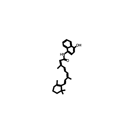 CC(C=CC1=C(C)CCCC1(C)C)=CC=CC(C)=CC(=O)Nc1ccc(O)c2ccccc12